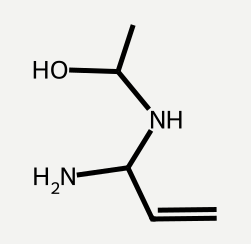 C=CC(N)NC(C)O